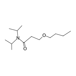 CCCCOCCC(=O)N(C(C)C)C(C)C